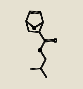 CC(C)COC(=O)C1CC2C=CC1O2